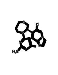 Cc1cc(N2CCCOC[C@H]2c2cc3nccn3cc2Cl)nc(N)n1